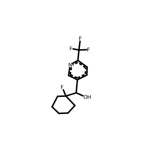 OC(c1ccc(C(F)(F)F)nc1)C1(F)CCCCC1